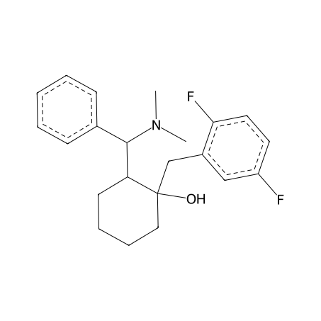 CN(C)C(c1ccccc1)C1CCCCC1(O)Cc1cc(F)ccc1F